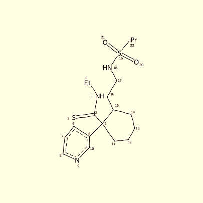 CCNC(=S)C1(c2cccnc2)CCCCC1CCNS(=O)(=O)C(C)C